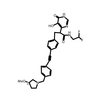 CO[C@@H]1CCN(Cc2ccc(C#Cc3ccc(CC(C(=O)NCC(F)F)c4nc[nH]c(=O)c4O)cc3)cc2)C1